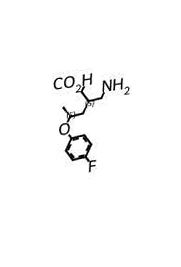 C[C@@H](C[C@H](CN)CC(=O)O)Oc1ccc(F)cc1